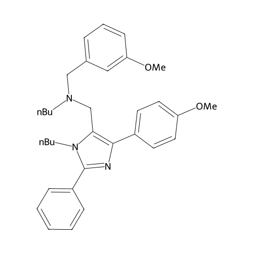 CCCCN(Cc1cccc(OC)c1)Cc1c(-c2ccc(OC)cc2)nc(-c2ccccc2)n1CCCC